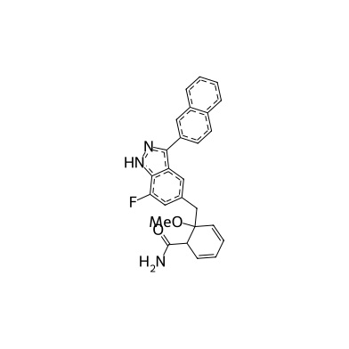 COC1(Cc2cc(F)c3[nH]nc(-c4ccc5ccccc5c4)c3c2)C=CC=CC1C(N)=O